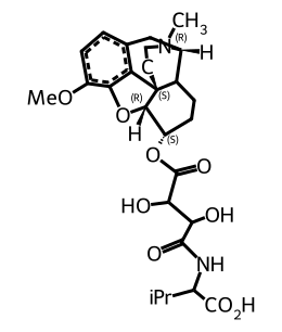 COc1ccc2c3c1O[C@H]1[C@@H](OC(=O)C(O)C(O)C(=O)NC(C(=O)O)C(C)C)CCC4[C@@H](C2)N(C)CC[C@@]341